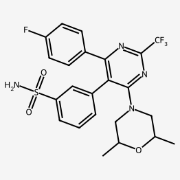 CC1CN(c2nc(C(F)(F)F)nc(-c3ccc(F)cc3)c2-c2cccc(S(N)(=O)=O)c2)CC(C)O1